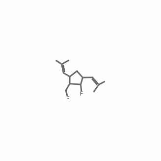 CC(C)=CC1CC(C=C(C)C)C(CF)C1F